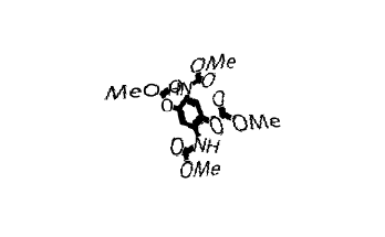 COC(=O)Nc1cc(OC(=O)OC)c(NC(=O)OC)cc1OC(=O)OC